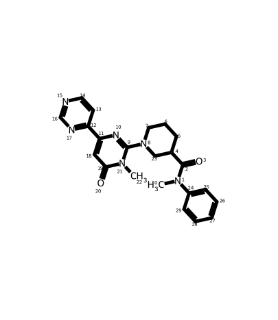 CN(C(=O)C1CCCN(c2nc(-c3ccncn3)cc(=O)n2C)C1)c1ccccc1